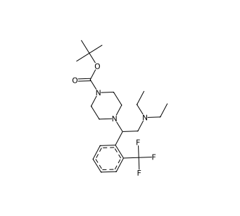 CCN(CC)CC(c1ccccc1C(F)(F)F)N1CCN(C(=O)OC(C)(C)C)CC1